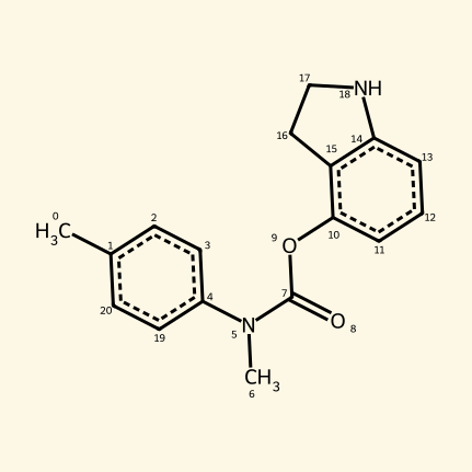 Cc1ccc(N(C)C(=O)Oc2cccc3c2CCN3)cc1